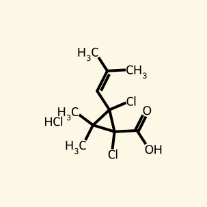 CC(C)=CC1(Cl)C(C)(C)C1(Cl)C(=O)O.Cl